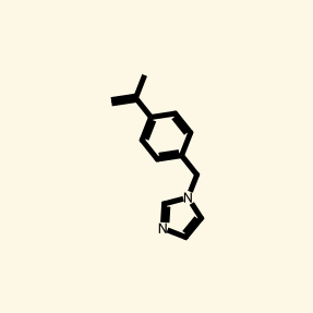 C=C(C)c1ccc(Cn2ccnc2)cc1